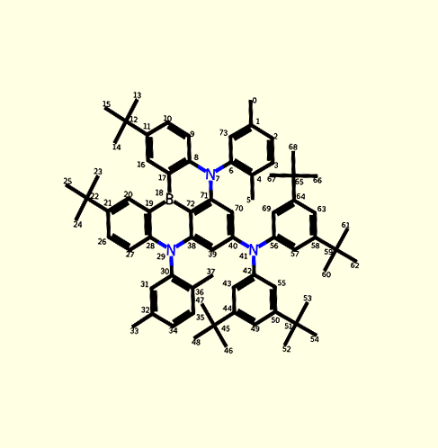 Cc1ccc(C)c(N2c3ccc(C(C)(C)C)cc3B3c4cc(C(C)(C)C)ccc4N(c4cc(C)ccc4C)c4cc(N(c5cc(C(C)(C)C)cc(C(C)(C)C)c5)c5cc(C(C)(C)C)cc(C(C)(C)C)c5)cc2c43)c1